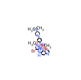 COc1cc(N2CCC(N(C)C)CC2)ccc1Nc1ncc(Br)c(Nc2ccc3nccnc3c2NS(C)(=O)=O)n1